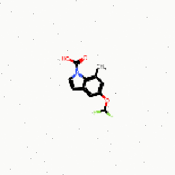 Cc1cc(OC(F)F)cc2ccn(C(=O)O)c12